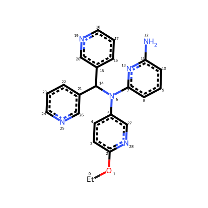 CCOc1ccc(N(c2cccc(N)n2)C(c2cccnc2)c2cccnc2)cn1